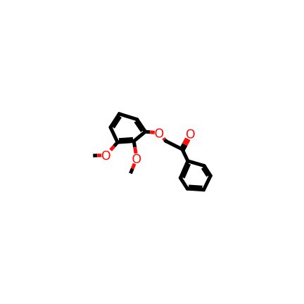 COc1cccc(OCC(=O)c2ccccc2)c1OC